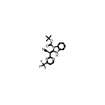 CC(C)(C)OC(=O)N1C(=C(C#N)c2nccc(C(F)(F)F)n2)Nc2ccccc21